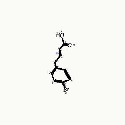 O=C(O)/C=C/Cc1ccc(Br)cc1